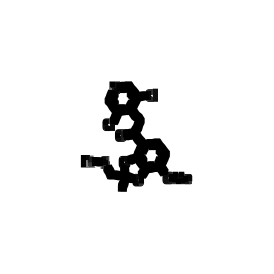 CCSCC1(C)Oc2c(OC)ccc(C(=O)Cc3c(Cl)cncc3Cl)c2O1